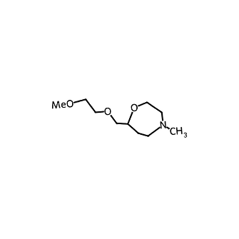 COCCOCC1CCN(C)CCO1